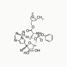 CCC(CC)COC(=O)C(C)NP(=O)(OC[C@H]1O[C@@](C#N)(c2cc3ncnc(N)n3c2)[C@H](O)[C@H]1O)Oc1ccccc1